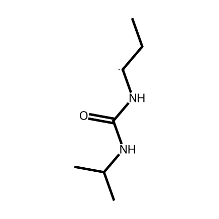 CC[CH]NC(=O)NC(C)C